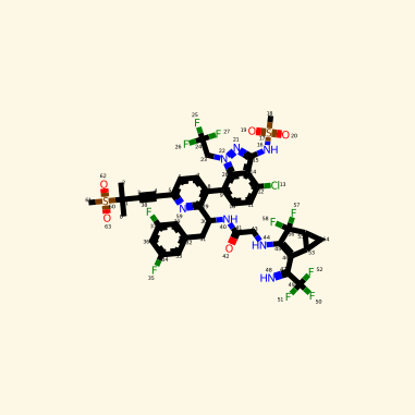 CC(C)(C#Cc1ccc(-c2ccc(Cl)c3c(NS(C)(=O)=O)nn(CC(F)(F)F)c23)c(C(Cc2cc(F)cc(F)c2)NC(=O)CNC2=C(C(=N)C(F)(F)F)C3CC3C2(F)F)n1)S(C)(=O)=O